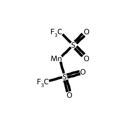 O=[S](=O)([Mn][S](=O)(=O)C(F)(F)F)C(F)(F)F